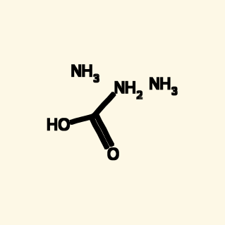 N.N.NC(=O)O